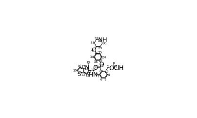 COCc1cccc(NC(=O)c2cc3sccc3n2C)c1COc1ccc(OC2CCNCC2)cc1.Cl